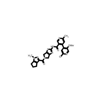 COc1cnc(Cl)cc1-c1cc(C)ncc1C(=O)Nc1nc2c(s1)CN(C(=O)c1nn(C)c3c1CCC3)C2